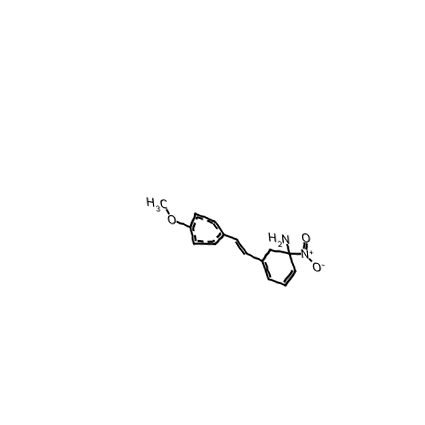 COc1ccc(C=CC2=CC=CC(N)([N+](=O)[O-])C2)cc1